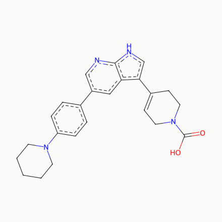 O=C(O)N1CC=C(c2c[nH]c3ncc(-c4ccc(N5CCCCC5)cc4)cc23)CC1